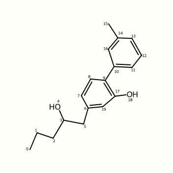 CCCC(O)Cc1ccc(-c2cccc(C)c2)c(O)c1